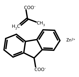 C=C(C)C(=O)[O-].O=C([O-])C1c2ccccc2-c2ccccc21.[Zn+2]